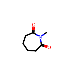 CN1C(=O)CCCCC1=O